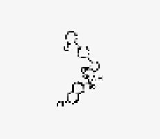 O=C1C(NS(=O)(=O)c2ccc3cc(Cl)ccc3c2)CCN1c1ccc(-n2ccccc2=O)cc1